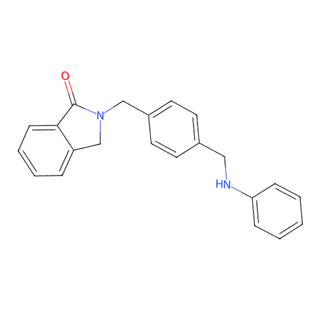 O=C1c2ccccc2CN1Cc1ccc(CNc2ccccc2)cc1